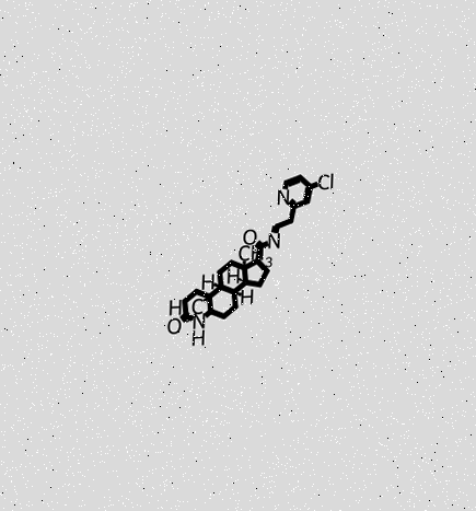 C[C@]12CCC(=O)NC1CC[C@@H]1[C@H]2CC[C@]2(C)C(C(=O)N=CCc3cc(Cl)ccn3)CC[C@@H]12